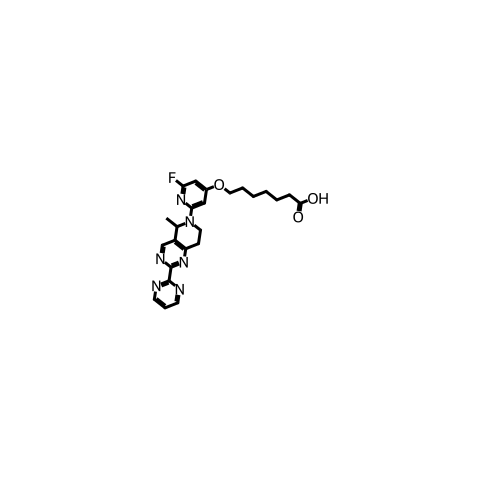 CC1c2cnc(-c3ncccn3)nc2CCN1c1cc(OCCCCCCC(=O)O)cc(F)n1